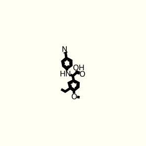 CCc1cc(C(Nc2ccc(C#N)cc2)C(=O)O)ccc1OC